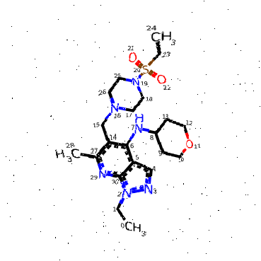 CCn1ncc2c(NC3CCOCC3)c(CN3CCN(S(=O)(=O)CC)CC3)c(C)nc21